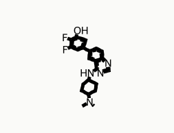 CN(C)C1CCC(Nc2ncnc3ccc(-c4cc(O)c(F)c(F)c4)cc23)CC1